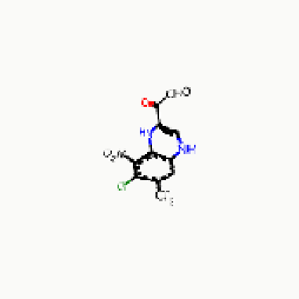 O=CC(=O)C1=CNc2cc(C(F)(F)F)c(Cl)c([N+](=O)[O-])c2N1